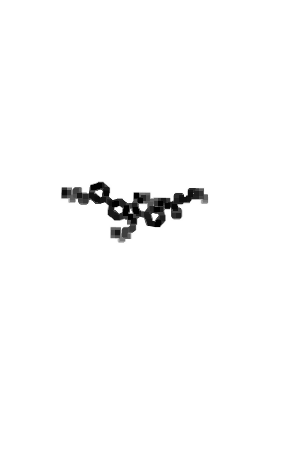 CCOC(=O)Nc1cccc(-c2c(N)c3cc(-c4cccc(OC)c4)ccc3n2CC)c1